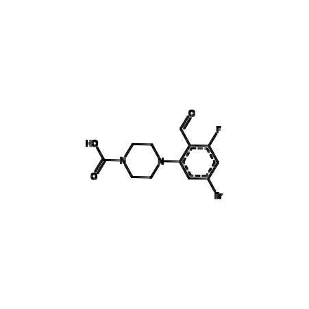 O=Cc1c(F)cc(Br)cc1N1CCN(C(=O)O)CC1